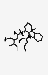 CCCC(CI)N1C2CCCCC2C2(C)CCCC([N+](C)(C)C(I)CC(CI)C(C)CC)C12